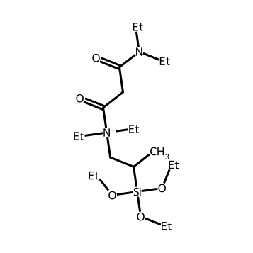 CCO[Si](OCC)(OCC)C(C)C[N+](CC)(CC)C(=O)CC(=O)N(CC)CC